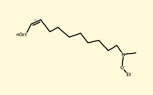 CCCCCCCC/C=C\CCCCCCCCN(C)OCC